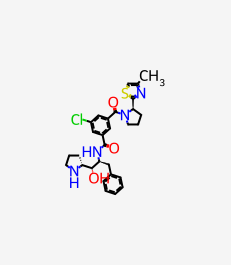 Cc1csc([C@H]2CCCN2C(=O)c2cc(Cl)cc(C(=O)N[C@@H](Cc3ccccc3)[C@H](O)[C@H]3CCCN3)c2)n1